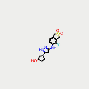 O=S1(=O)Cc2ccc(Nc3cc([C@H]4CC[C@@H](O)C4)[nH]n3)c(F)c2C1